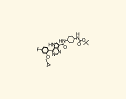 CC(C)(C)OC(=O)NC1CCC(NC(=O)c2c[nH]c3c(-c4ccc(F)cc4OCC4CC4)ncnc23)CC1